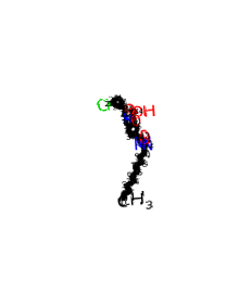 CCCCCCCCCCCc1noc(-c2ccc(CN(CCc3cccc(Cl)c3)C(=O)C(=O)O)cc2)n1